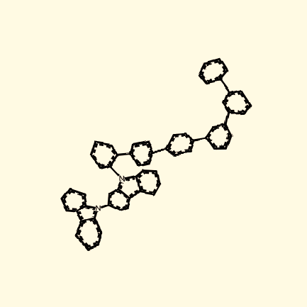 c1ccc(-c2cccc(-c3cccc(-c4ccc(-c5ccc(-c6ccccc6-n6c7ccccc7c7ccc(-n8c9ccccc9c9ccccc98)cc76)cc5)cc4)c3)c2)cc1